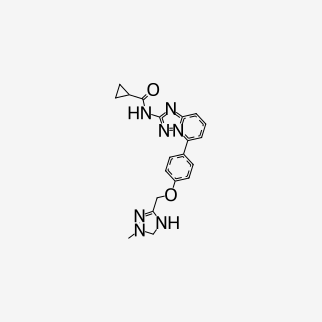 CN1CNC(COc2ccc(-c3cccc4nc(NC(=O)C5CC5)nn34)cc2)=N1